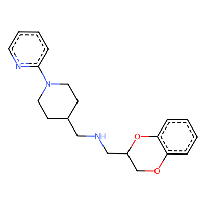 c1ccc(N2CCC(CNCC3COc4ccccc4O3)CC2)nc1